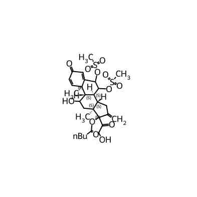 C=C1C[C@H]2[C@@H]3C(OS(C)(=O)=O)C(OS(C)(=O)=O)C4=CC(=O)C=C[C@]4(C)[C@H]3C(O)C[C@]2(C)[C@@]1(OC(=O)CCCC)C(=O)CO